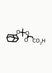 CC(C)(OC(=O)CC(=O)O)OC1C2CC3CC(C2)CC1C3